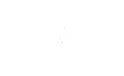 c1cc(Oc2cccc(-n3ccnn3)c2)cc(-n2ccnc2)c1